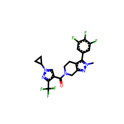 Cn1nc2c(c1-c1cc(F)c(F)c(F)c1)CCN(C(=O)c1cn(C3CC3)nc1C(F)(F)F)C2